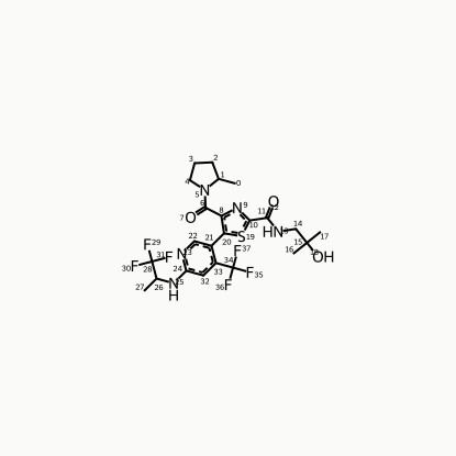 CC1CCCN1C(=O)c1nc(C(=O)NCC(C)(C)O)sc1-c1cnc(NC(C)C(F)(F)F)cc1C(F)(F)F